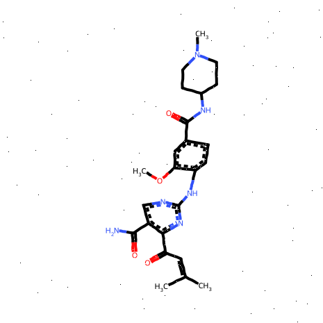 COc1cc(C(=O)NC2CCN(C)CC2)ccc1Nc1ncc(C(N)=O)c(C(=O)C=C(C)C)n1